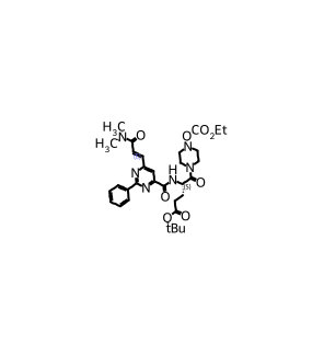 CCOC(=O)ON1CCN(C(=O)[C@H](CCC(=O)OC(C)(C)C)NC(=O)c2cc(/C=C/C(=O)N(C)C)nc(-c3ccccc3)n2)CC1